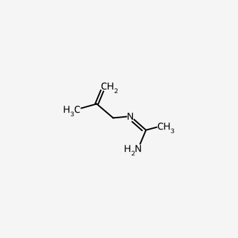 C=C(C)C/N=C(/C)N